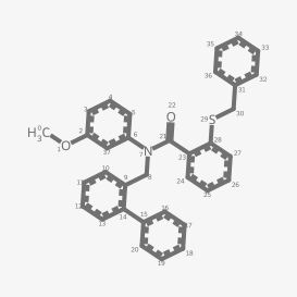 COc1cccc(N(Cc2ccccc2-c2ccccc2)C(=O)c2ccccc2SCc2ccccc2)c1